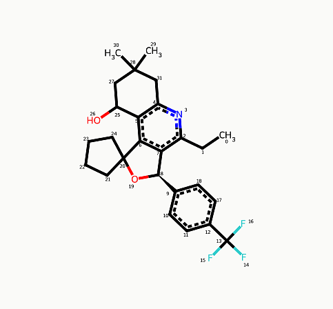 CCc1nc2c(c3c1[C@@H](c1ccc(C(F)(F)F)cc1)OC31CCCC1)C(O)CC(C)(C)C2